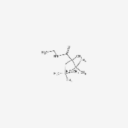 CCNC(=O)C(C)(CC(C)(C)C)C(C)(C)C